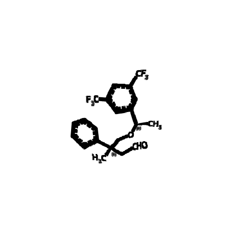 C[C@@H](OC[C@](C)(CC=O)c1ccccc1)c1cc(C(F)(F)F)cc(C(F)(F)F)c1